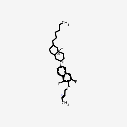 C/C=C/COc1c(F)cc2cc([C@@H]3CC[C@@H]4CC(CCCCCC)CCC4C3)ccc2c1F